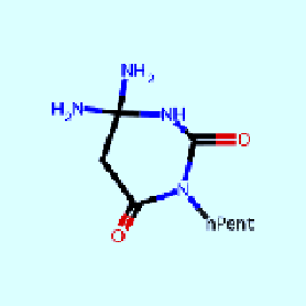 CCCCCN1C(=O)CC(N)(N)NC1=O